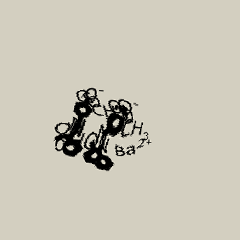 Cc1cc(N=Nc2c(O)ccc3ccccc23)ccc1S(=O)(=O)[O-].Cc1cc(N=Nc2c(O)ccc3ccccc23)ccc1S(=O)(=O)[O-].[Ba+2]